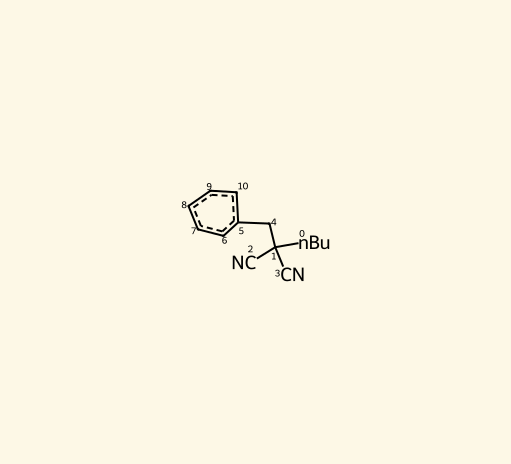 CCCCC(C#N)(C#N)Cc1ccccc1